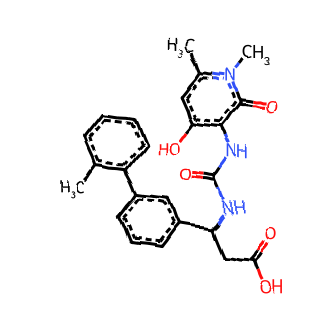 Cc1ccccc1-c1cccc(C(CC(=O)O)NC(=O)Nc2c(O)cc(C)n(C)c2=O)c1